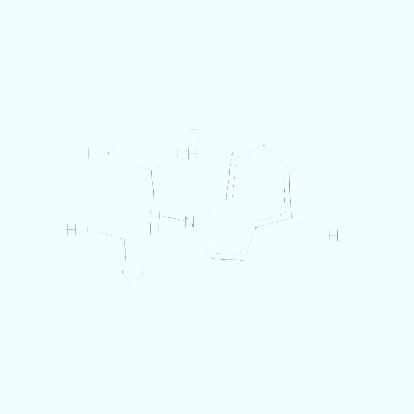 Cc1ccc(F)c2c1ccn2[SiH](C(C)C)C(C)C